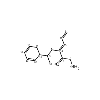 BCC(=O)/C(=C/C=C)CC(C)C1C=CC=CC1